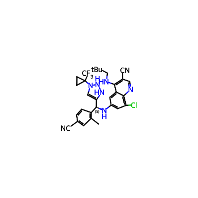 Cc1cc(C#N)ccc1[C@H](Nc1cc(Cl)c2ncc(C#N)c(NCC(C)(C)C)c2c1)C1=CN(C2(C(F)(F)F)CC2)NN1